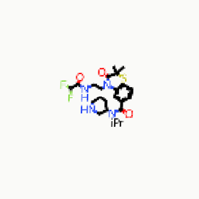 CC(C)N(C(=O)c1ccc2c(c1)N(CCNC(=O)C(F)F)C(=O)C(C)(C)S2)[C@@H]1CCCNC1